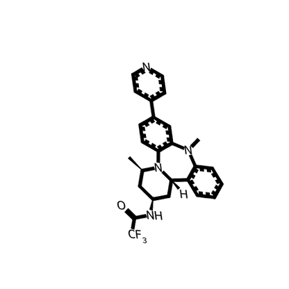 C[C@@H]1C[C@H](NC(=O)C(F)(F)F)C[C@H]2c3ccccc3N(C)c3cc(-c4ccncc4)ccc3N12